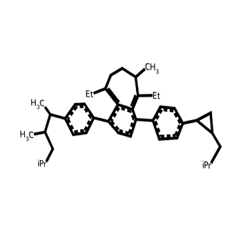 CCC1=c2c(-c3ccc(C(C)C(C)CC(C)C)cc3)ccc(-c3ccc(C4CC4CC(C)C)cc3)c2=C(CC)C(C)CC1